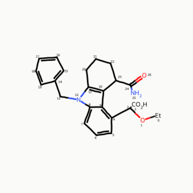 CCOC(C(=O)O)c1cccc2c1c1c(n2Cc2ccccc2)CCCC1C(N)=O